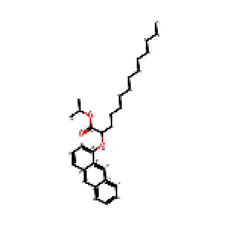 CCCCCCCCCCCCC(Oc1cccc2cc3ccccc3cc12)C(=O)OC(C)C